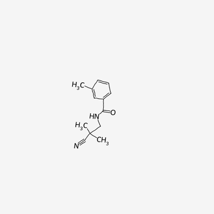 Cc1cccc(C(=O)NCC(C)(C)C#N)c1